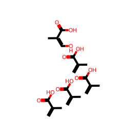 C=C(C)C(=O)O.C=C(C)C(=O)O.C=C(C)C(=O)O.C=C(C)C(=O)O.CC(=CO)C(=O)O